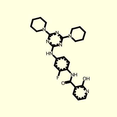 O=C(Nc1ccc(Nc2nc(N3CCCCC3)nc(N3CCCCC3)n2)cc1F)c1cccnc1O